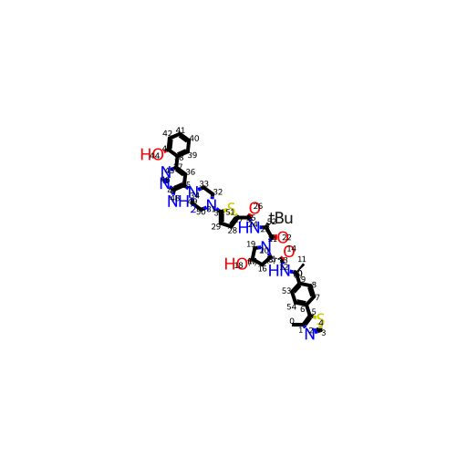 Cc1ncsc1-c1ccc([C@H](C)NC(=O)[C@@H]2C[C@@H](O)CN2C(=O)C(NC(=O)c2ccc(N3CCN(c4cc(-c5ccccc5O)nnc4N)CC3)s2)C(C)(C)C)cc1